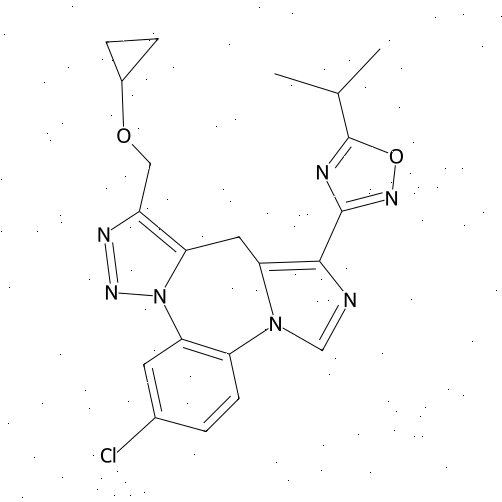 CC(C)c1nc(-c2ncn3c2Cc2c(COC4CC4)nnn2-c2cc(Cl)ccc2-3)no1